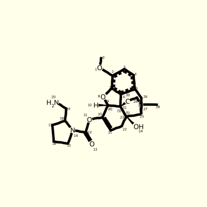 COc1ccc2c3c1O[C@H]1C(OC(=O)N4CCCC4CN)=CC[C@@]4(O)C(C2)N(C)CC[C@]314